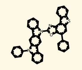 c1ccc(-c2cc3sc4ccccc4c3c3nc(-n4c5ccccc5c5cc6c(cc54)c4ccccc4n6-c4ccccc4)oc23)cc1